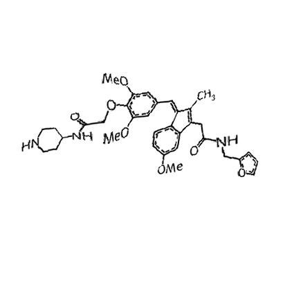 COc1ccc2c(c1)C(CC(=O)NCc1ccco1)=C(C)/C2=C/c1cc(OC)c(OCC(=O)NC2CCNCC2)c(OC)c1